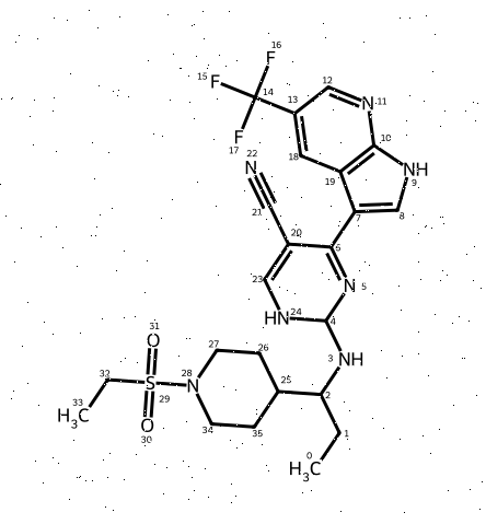 CCC(NC1N=C(c2c[nH]c3ncc(C(F)(F)F)cc23)C(C#N)=CN1)C1CCN(S(=O)(=O)CC)CC1